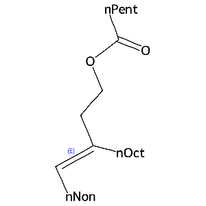 CCCCCCCCC/C=C(\CCCCCCCC)CCOC(=O)CCCCC